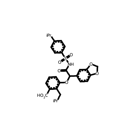 CC(C)Cc1c(OC(C(=O)NS(=O)(=O)c2ccc(C(C)C)cc2)c2ccc3c(c2)OCO3)cccc1C(=O)O